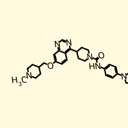 CN1CCC(COc2ccc3c(C4CCN(C(=O)Nc5ccc(N6CCCC6)cc5)CC4)ncnc3c2)CC1